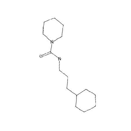 O=C([N]CCCC1CCCCC1)N1CCCCC1